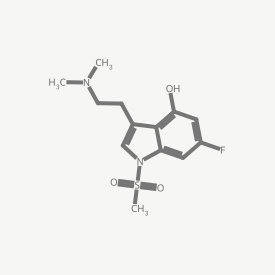 CN(C)CCc1cn(S(C)(=O)=O)c2cc(F)cc(O)c12